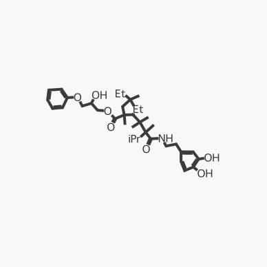 CCC(C(C)(CC(C)(C)CC)C(=O)OCC(O)COc1ccccc1)C(C)(C)C(C)(C(=O)NCCc1ccc(O)c(O)c1)C(C)C